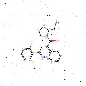 O=C(c1cc(-c2c(F)cccc2F)nc2ccccc12)N1CCCC1CO